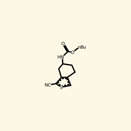 CCCCOC(=O)NC1CCc2csc(C#N)c2C1